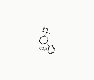 CCOC(=O)[C@@H]1CCN(C2(C)COC2)C[C@H]1c1ccccc1